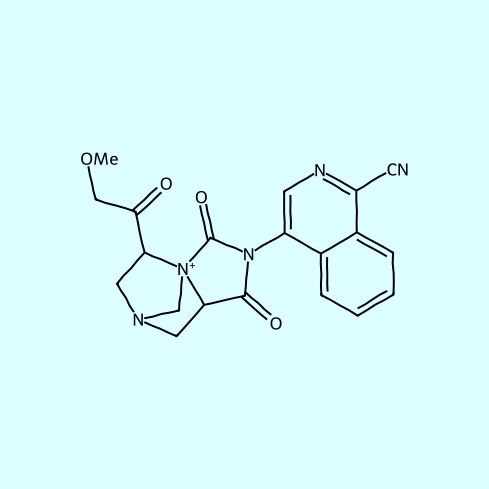 COCC(=O)C1CN2CC3C(=O)N(c4cnc(C#N)c5ccccc45)C(=O)[N+]13C2